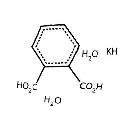 O.O.O=C(O)c1ccccc1C(=O)O.[KH]